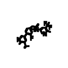 C=C(Cc1ccc(-c2cnc(C)c(C(=C)C)c2)c(F)c1)Nc1cnc(C)c(C(C)(F)F)c1